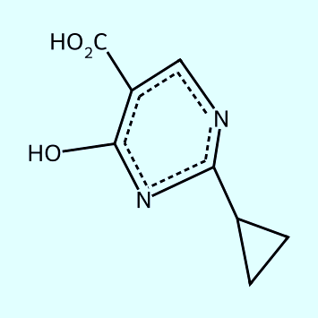 O=C(O)c1cnc(C2CC2)nc1O